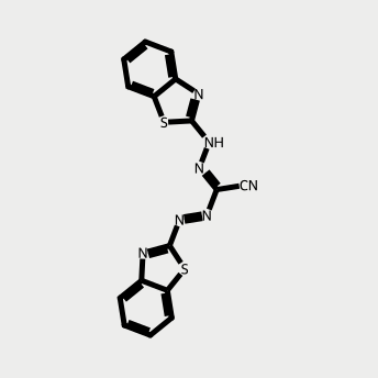 N#CC(N=Nc1nc2ccccc2s1)=NNc1nc2ccccc2s1